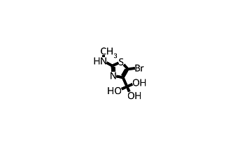 CNc1nc(C(O)(O)O)c(Br)s1